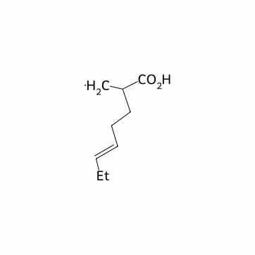 [CH2]C(CCC=CCC)C(=O)O